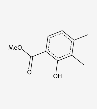 COC(=O)c1ccc(C)c(C)c1O